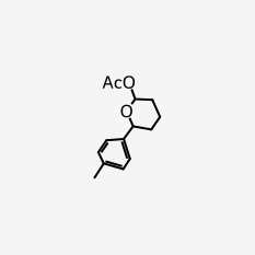 CC(=O)OC1CCCC(c2ccc(C)cc2)O1